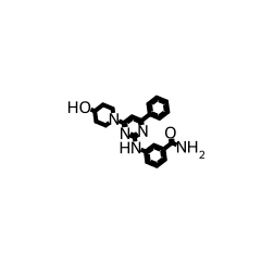 NC(=O)c1cccc(Nc2nc(-c3ccccc3)cc(N3CCC(O)CC3)n2)c1